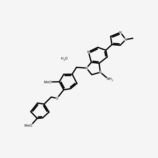 COc1ccc(COc2ccc(CN3CN(N)c4cc(-c5cnn(C)c5)cnc43)cc2OC)cc1.O